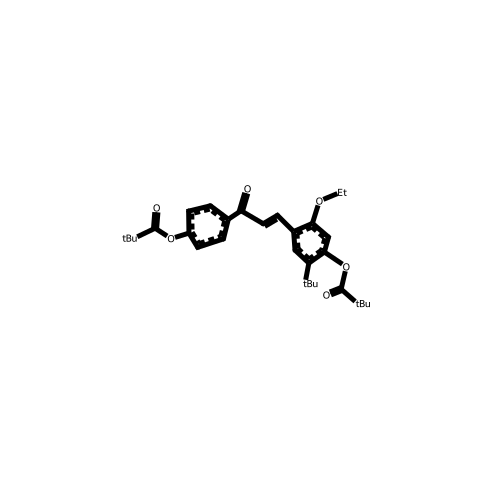 CCOc1cc(OC(=O)C(C)(C)C)c(C(C)(C)C)cc1C=CC(=O)c1ccc(OC(=O)C(C)(C)C)cc1